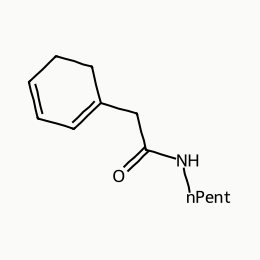 [CH2]CCCCNC(=O)CC1=CC=CCC1